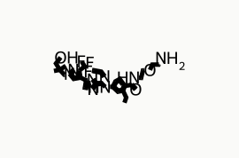 CCc1cc(Nc2nccn3c(-c4cn(CC(C)(C)CO)nc4C(F)(F)F)cnc23)ccc1C(=O)NCCOCCN